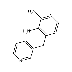 Nc1nccc(Cc2cccnc2)c1N